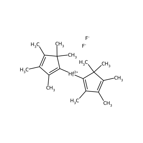 CC1=C(C)C(C)(C)[C]([Hf+2][C]2=C(C)C(C)=C(C)C2(C)C)=C1C.[F-].[F-]